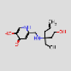 C=CCC(CC)(CCO)NCc1cc(=O)c(O)c[nH]1